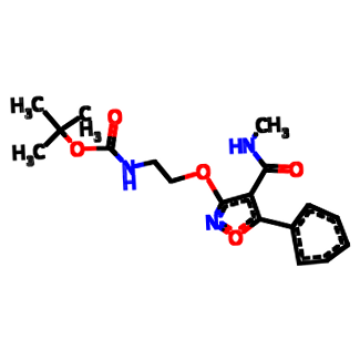 CNC(=O)c1c(OCCNC(=O)OC(C)(C)C)noc1-c1ccccc1